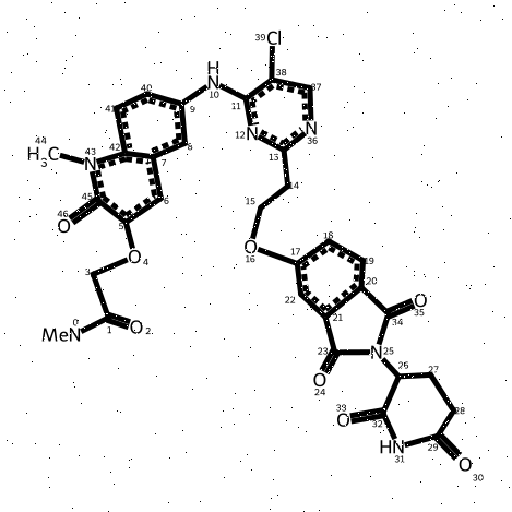 CNC(=O)COc1cc2cc(Nc3nc(CCOc4ccc5c(c4)C(=O)N(C4CCC(=O)NC4=O)C5=O)ncc3Cl)ccc2n(C)c1=O